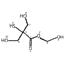 O=C(OCO)C(S)(CO)CO